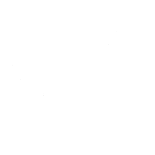 CCOC(=O)CCCCCC(C(C)=O)C(=O)OC(C)(C)C